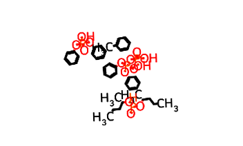 CCCC(C)O[PH](=O)OC(C)CCC.Cc1ccccc1.O=P(O)(O)OP(=O)(Oc1ccccc1)Oc1ccccc1.O=P(O)(Oc1ccccc1)Oc1ccccc1